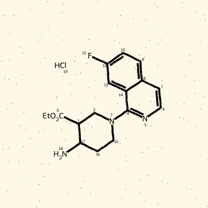 CCOC(=O)C1CN(c2nccc3ccc(F)cc23)CCC1N.Cl